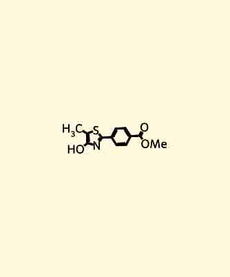 COC(=O)c1ccc(-c2nc(O)c(C)s2)cc1